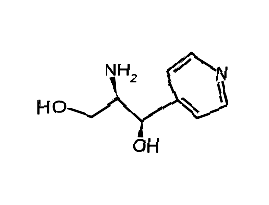 N[C@H](CO)[C@H](O)c1ccncc1